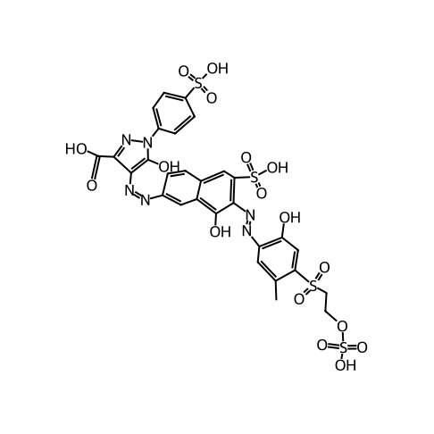 Cc1cc(N=Nc2c(S(=O)(=O)O)cc3ccc(/N=N\c4c(C(=O)O)nn(-c5ccc(S(=O)(=O)O)cc5)c4O)cc3c2O)c(O)cc1S(=O)(=O)CCOS(=O)(=O)O